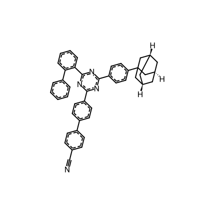 N#Cc1ccc(-c2ccc(-c3nc(-c4ccc(C56C[C@H]7C[C@@H](C5)C[C@@H](C6)C7)cc4)nc(-c4ccccc4-c4ccccc4)n3)cc2)cc1